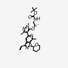 C=Cc1nn(C2CCCCO2)c2c(C)nc(-c3c(C)nn(C)c3O[C@@H](C)CNC(=O)OC(C)(C)C)cc12